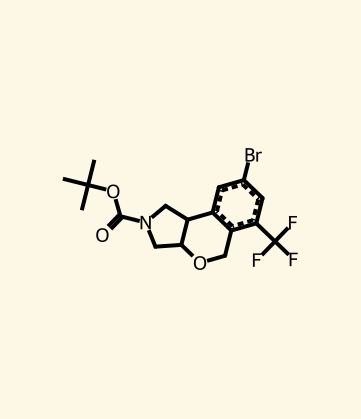 CC(C)(C)OC(=O)N1CC2OCc3c(cc(Br)cc3C(F)(F)F)C2C1